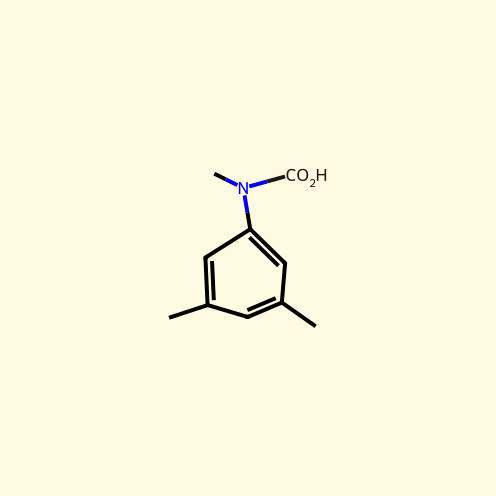 Cc1cc(C)cc(N(C)C(=O)O)c1